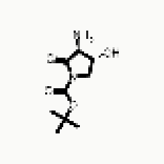 CC(C)(C)OC(=O)N1C[C@@H](O)[C@H](N)C1=O